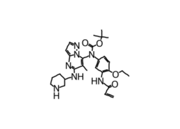 C=CC(=O)Nc1cc(N(C(=O)OC(C)(C)C)c2c(C)c(NC3CCCNC3)nc3ccnn23)ccc1OCC